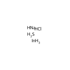 Cl.S.[InH3].[NaH]